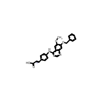 COc1cc2c(Nc3ccc(/C=C/C(=O)O)cc3)ncnc2cc1OCc1ccccc1